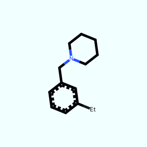 CCc1cccc(CN2CCCCC2)c1